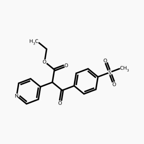 CCOC(=O)C(C(=O)c1ccc(S(C)(=O)=O)cc1)c1ccncc1